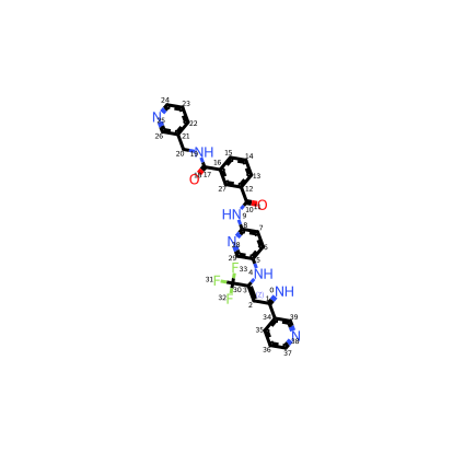 N=C(/C=C(\Nc1ccc(NC(=O)c2cccc(C(=O)NCc3cccnc3)c2)nc1)C(F)(F)F)c1cccnc1